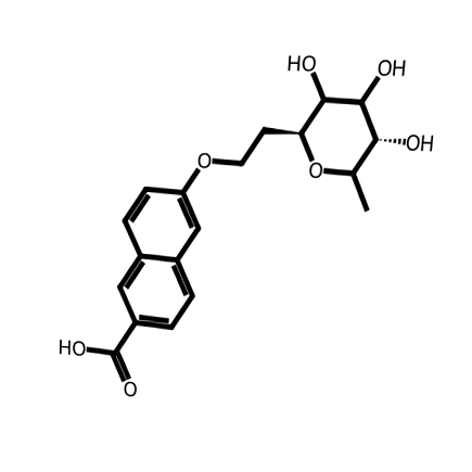 CC1O[C@@H](CCOc2ccc3cc(C(=O)O)ccc3c2)C(O)C(O)[C@@H]1O